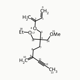 C=CC(=C)OCC(CCC(=C)C#CC)(COC)COCC